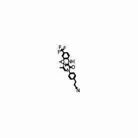 COc1cc(C(F)(F)F)ccc1Nc1nc(C)cn(-c2ccc(CCC#N)cc2)c1=O